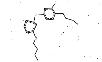 CCCCOc1cccc(Sc2ccc(CCCI)c(Cl)c2)c1